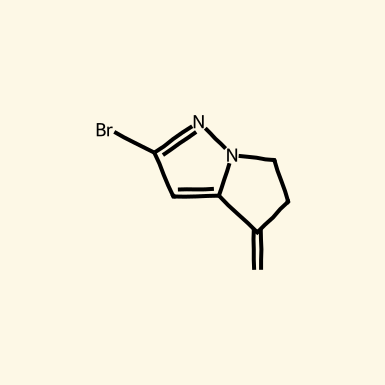 C=C1CCn2nc(Br)cc21